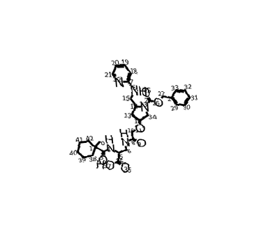 CC1(C(=O)NC(CNC(=O)COC2CC(CNc3ccccn3)N(C(=O)OCc3ccccc3)C2)C(=O)O)CCCCC1